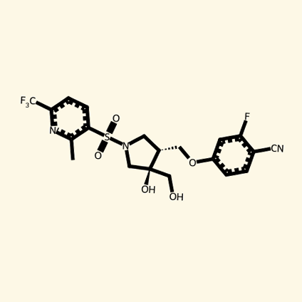 Cc1nc(C(F)(F)F)ccc1S(=O)(=O)N1C[C@H](COc2ccc(C#N)c(F)c2)[C@](O)(CO)C1